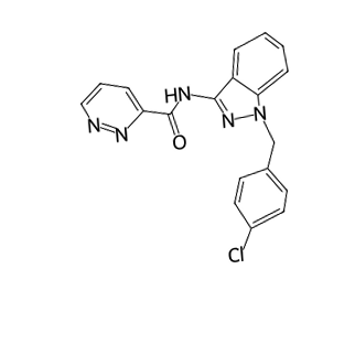 O=C(Nc1nn(Cc2ccc(Cl)cc2)c2ccccc12)c1cccnn1